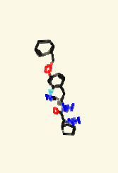 N#C[C@H](Cc1ccc(OCc2ccccc2)cc1F)NC(=O)C1NC2CCC1C2